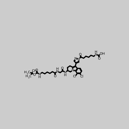 CC(C)(C)OC(=O)NCCCCCC(=O)NCC(=O)NC1CCc2c(-c3cnn(C(=O)CCCCCNC(=O)O)c3)c3ccc(Cl)c(Cl)c3n2C1